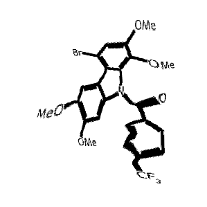 COc1cc2c3c(Br)cc(OC)c(OC)c3n(C(=O)c3ccc(C(F)(F)F)cc3)c2cc1OC